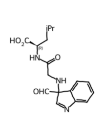 CC(C)C[C@@H](NC(=O)CNC1(C=O)C=Nc2ccccc21)C(=O)O